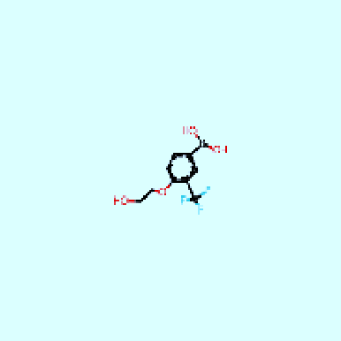 OCCOc1ccc(B(O)O)cc1C(F)(F)F